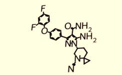 N#CN1C[C@@H](n2nc(-c3ccc(Oc4ccc(F)cc4F)cc3)c(C(N)=O)c2N)CCC12CC2